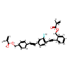 C=C(C)C(=O)OCc1ccc(C#Cc2ccc(C#Cc3ccccc3COC(=O)C(=C)C)c(F)c2)cc1